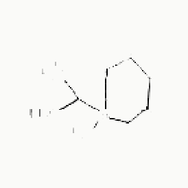 CC(C)[Si]1(C)CCCCC1